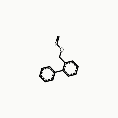 C=NOCc1ccccc1-c1ccccc1